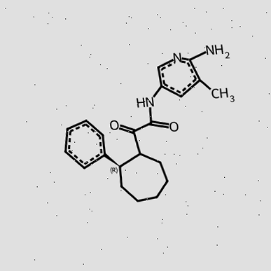 Cc1cc(NC(=O)C(=O)C2CCCCC[C@H]2c2ccccc2)cnc1N